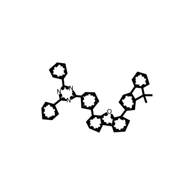 CC1(C)c2ccccc2-c2ccc(-c3cccc4c3oc3c(-c5cccc(-c6nc(-c7ccccc7)nc(-c7ccccc7)n6)c5)cccc34)cc21